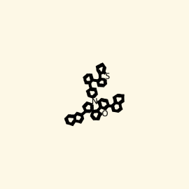 c1ccc(-c2cccc3sc4ccccc4c23)c(-c2ccc(N(c3ccc(-c4ccc5ccccc5c4)cc3)c3ccc(-c4cccc5ccccc45)c4oc5ccccc5c34)cc2)c1